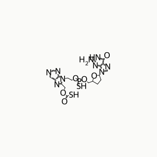 Nc1nc2c(ncn2[C@H]2CCC(COP(S)OCCn3c(COC(=O)S)nc4cncnc43)O2)c(=O)[nH]1